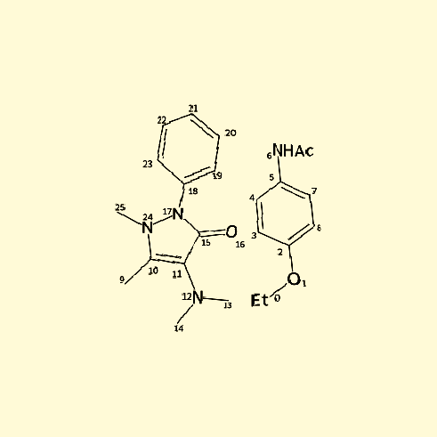 CCOc1ccc(NC(C)=O)cc1.Cc1c(N(C)C)c(=O)n(-c2ccccc2)n1C